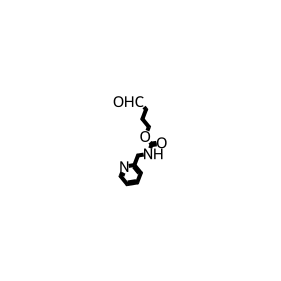 O=CCCCOC(=O)NCc1ccccn1